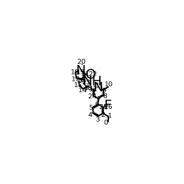 CCc1cccc(-c2cc(C)nc([C@H]3CC[C@@]4(CCN(C)C4=O)N3)c2)c1F